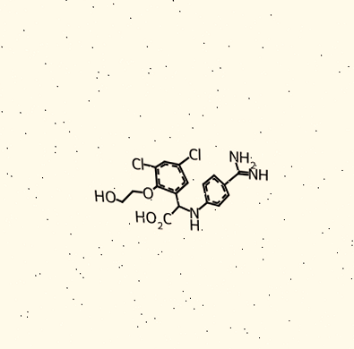 N=C(N)c1ccc(NC(C(=O)O)c2cc(Cl)cc(Cl)c2OCCO)cc1